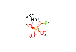 O=P([O-])([O-])OF.[K+].[Na+]